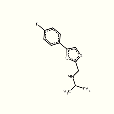 CC(C)NCc1ncc(-c2ccc(F)cc2)o1